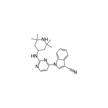 CC1(C)CC(Nc2nccc(-n3cc(C#N)c4ccccc43)n2)CC(C)(C)N1